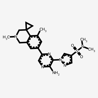 Cc1cc(-c2cnc(N)c(-n3cc(S(=O)(=O)N(C)C)cn3)n2)cc2c1C1(CC1)CN(C)C2